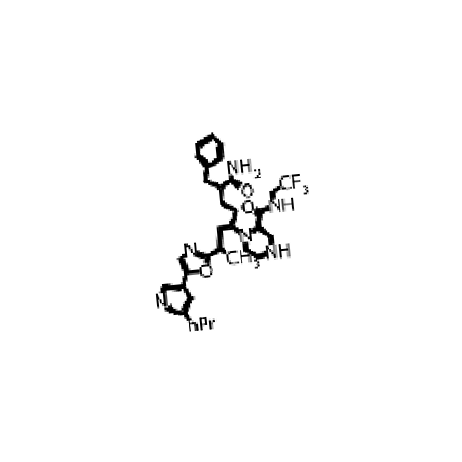 CCCc1cncc(-c2cnc(C(C)CC(CCC(Cc3ccccc3)C(N)=O)N3CCNCC3C(=O)NCC(F)(F)F)o2)c1